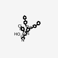 O=C(O)C(=Cc1sc2cc(OCc3ccc(-c4ccccc4)cc3)c(OCc3ccc(-c4ccccc4)cc3)cc2c1Oc1ccc(Cl)nc1)c1ccncc1